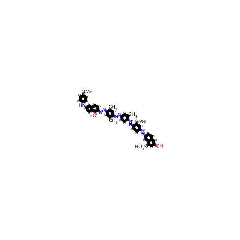 COc1ccc(Nc2ccc3c(O)c(N=Nc4cc(C)c(N=Nc5ccc(N=Nc6ccc(N=Nc7ccc8cc(O)cc(S(=O)(=O)O)c8c7)cc6OC)c(C)c5)cc4C)ccc3c2)cc1